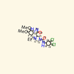 CCC(c1ccc(OC)c(OC)c1)N1CCN(C(=O)Nc2ccc(Cl)c(Cl)c2)CC1CC(N)=O